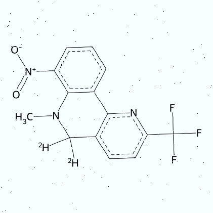 [2H]C1([2H])c2ccc(C(F)(F)F)nc2-c2cccc([N+](=O)[O-])c2N1C